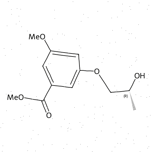 COC(=O)c1cc(OC)cc(OC[C@@H](C)O)c1